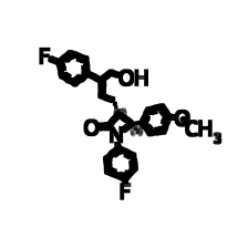 COc1ccc([C@@H]2[C@@H](CC=C(CO)c3ccc(F)cc3)C(=O)N2c2ccc(F)cc2)cc1